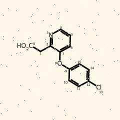 O=C(O)Cc1ncccc1Oc1ccc(Cl)cc1